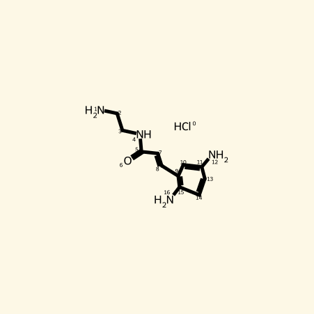 Cl.NCCNC(=O)C=Cc1cc(N)ccc1N